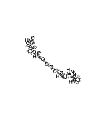 C=C1c2cccc(OCC(=O)NCCOCCOCCOCCOCCC(=O)Nc3cccc(Nc4cc(-c5c[nH]c6ccccc56)ncn4)c3)c2C(=O)N1C1CCC(=O)NC1=O